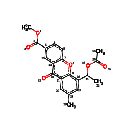 COC(=O)c1ccc2oc3c(C(C)OC(C)=O)cc(C)cc3c(=O)c2c1